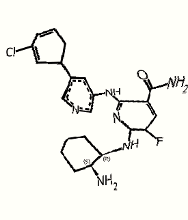 NC(=O)C1=CC(F)C(N[C@@H]2CCCC[C@@H]2N)N=C1Nc1cncc(C2C=C(Cl)C=CC2)c1